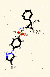 C[C@]1(c2ccccc2)C(C(=O)O)[C@@H]1NS(=O)(=O)c1ccc(-n2cc(C(F)(F)F)cn2)cc1